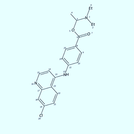 CCN(CC)C(C)OC(=O)c1ccc(Nc2ccnc3cc(Cl)ccc23)cc1